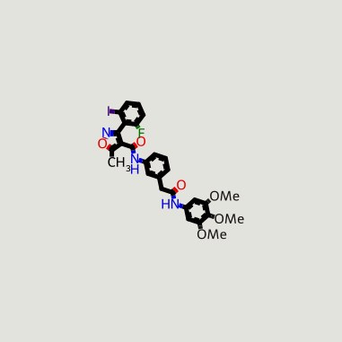 COc1cc(NC(=O)Cc2cccc(NC(=O)c3c(-c4c(F)cccc4I)noc3C)c2)cc(OC)c1OC